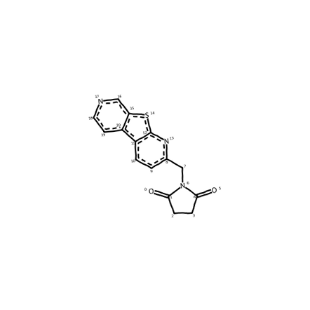 O=C1CCC(=O)N1Cc1ccc2c(n1)sc1cnccc12